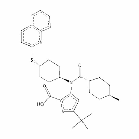 CC(C)(C)c1cc(N(C(=O)[C@H]2CC[C@H](C)CC2)[C@H]2CC[C@H](Sc3ccc4ccccc4n3)CC2)c(C(=O)O)s1